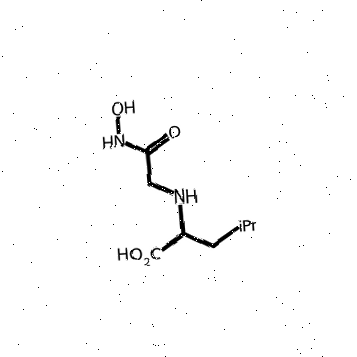 CC(C)CC(NCC(=O)NO)C(=O)O